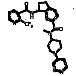 CN(C(=O)c1ccc2c(c1)C(NC(=O)c1cccnc1C(F)(F)F)CC2)C1CCN(c2ccnnc2)CC1